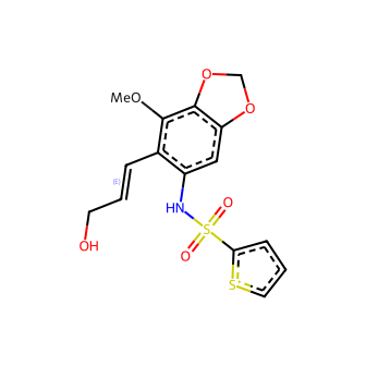 COc1c(/C=C/CO)c(NS(=O)(=O)c2cccs2)cc2c1OCO2